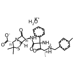 Cc1ccc(CN[C@H](C)C(=O)C(N)(C(=O)N[C@@H]2C(=O)N3[C@@H]2SC(C)(C)[C@@H]3C(=O)[O-])c2ccccc2)cc1.O.[K+]